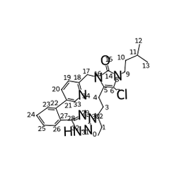 CCCCCc1c(Cl)n(CCC(C)C)c(=O)n1Cc1ccc(-c2ccccc2-c2nnn[nH]2)cn1